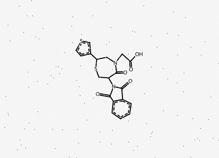 O=C(O)CN1CC(c2ccsc2)SCC(N2C(=O)c3ccccc3C2=O)C1=O